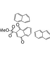 COS(=O)(=O)C1=CC(=O)c2ccccc2C1=O.c1ccc2ccccc2c1.c1ccc2ccccc2c1